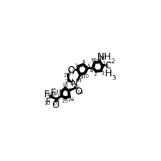 Cc1ccc(-c2ccc3c(c2)CN(C(=O)c2ccc(C(=O)C(F)(F)F)cc2)CCO3)cc1N